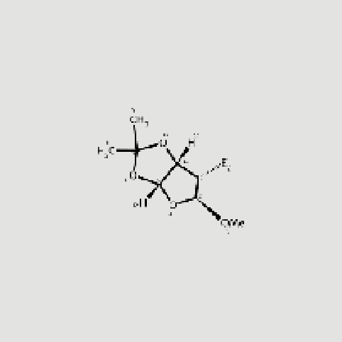 CC[C@@H]1[C@@H](OC)O[C@@H]2OC(C)(C)O[C@@H]21